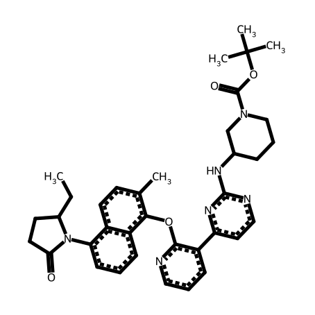 CCC1CCC(=O)N1c1cccc2c(Oc3ncccc3-c3ccnc(NC4CCCN(C(=O)OC(C)(C)C)C4)n3)c(C)ccc12